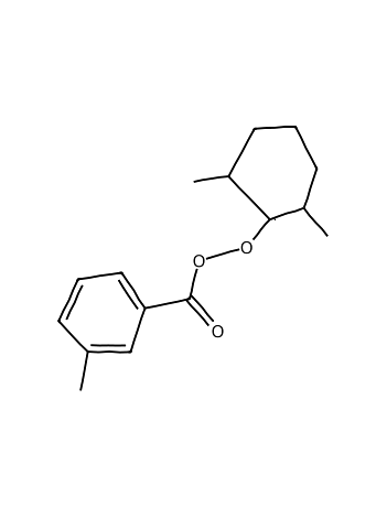 Cc1cccc(C(=O)OO[C]2C(C)CCCC2C)c1